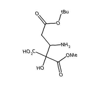 COC(=O)C(O)(C(=O)O)C(N)CC(=O)OC(C)(C)C